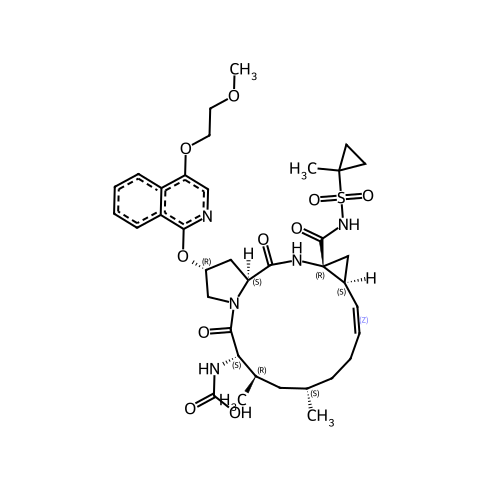 COCCOc1cnc(O[C@@H]2C[C@H]3C(=O)N[C@]4(C(=O)NS(=O)(=O)C5(C)CC5)C[C@H]4/C=C\CC[C@H](C)C[C@@H](C)[C@H](NC(=O)O)C(=O)N3C2)c2ccccc12